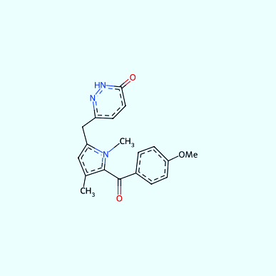 COc1ccc(C(=O)c2c(C)cc(Cc3ccc(=O)[nH]n3)n2C)cc1